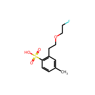 Cc1ccc(S(=O)(=O)O)c(CCOCCF)c1